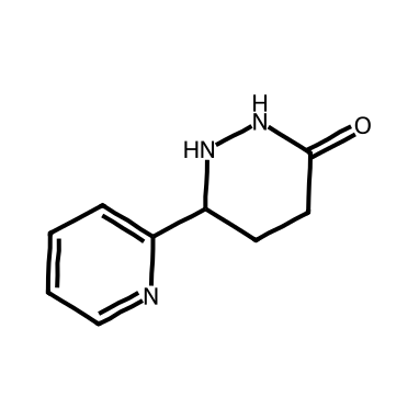 O=C1CCC(c2ccccn2)NN1